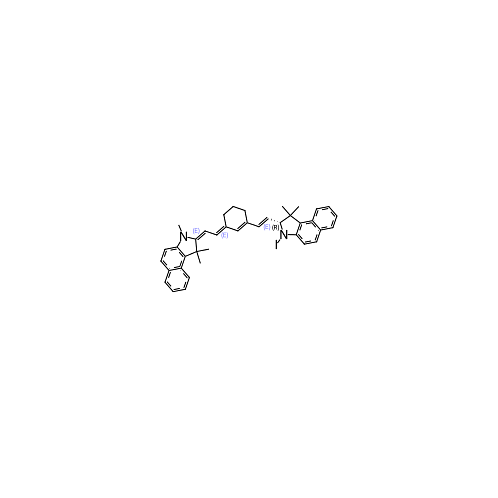 CN1/C(=C/C=C2C=C(/C=C/[C@H]3N(I)c4ccc5ccccc5c4C3(C)C)CCC/2)C(C)(C)c2c1ccc1ccccc21